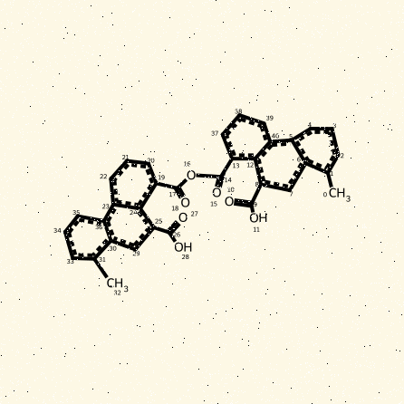 Cc1cccc2c1cc(C(=O)O)c1c(C(=O)OC(=O)c3cccc4c3c(C(=O)O)cc3c(C)cccc34)cccc12